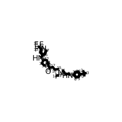 CC(C)(C)c1ccc(NCCCN(CI)CCCC(=O)N2CCC(Nc3ccnc(C(F)(F)F)c3)CC2)cc1